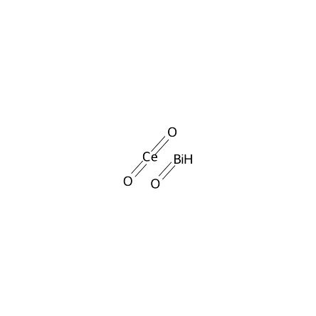 [O]=[BiH].[O]=[Ce]=[O]